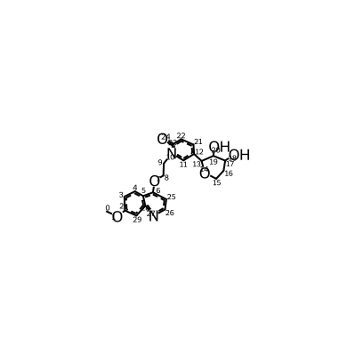 COc1ccc2c(OCCn3cc(C4OCCC(O)C4O)ccc3=O)ccnc2c1